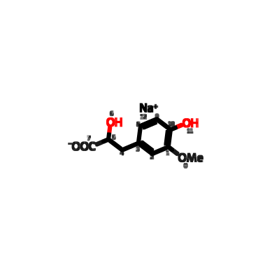 COc1cc(CC(O)C(=O)[O-])ccc1O.[Na+]